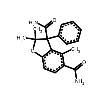 Cc1c(C(N)=O)ccc2c1C(C(N)=O)(c1ccccc1)C(C)(C)O2